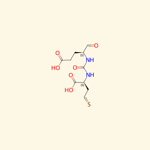 O=C[C@H](CCC(=O)O)NC(=O)N[C@@H](CC=S)C(=O)O